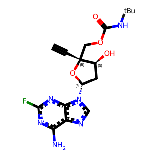 C#C[C@]1(COC(=O)NC(C)(C)C)O[C@@H](n2cnc3c(N)nc(F)nc32)C[C@@H]1O